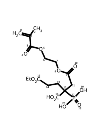 C=C(C)C(=O)OCCOC(=O)CC(CCC(=O)OCC)(C(=O)O)P(=O)(O)O